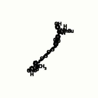 CCCCNc1ncc2c(-c3ccc(S(=O)(=O)N4CCN(CCOCCOCCOCCOCCCc5cccc6c5n(C)c(=O)n6C5CCC(=O)NC5=O)CC4)cc3)cn([C@H]3CC[C@H](O)CC3)c2n1